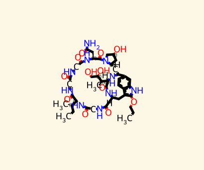 CCCOc1[nH]c2cc3ccc2c1C[C@@H]1NC(=O)[C@H]([C@@H](C)[C@@H](O)CO)NC3C[C@@H]2C[C@@H](O)CN2C(=O)[C@H](CC(N)=O)NC(=O)CNC(=O)CNC(=O)[C@H]([C@@H](C)CC)NC(=O)CNC1=O